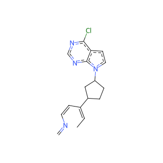 C=N/C=C\C(=C/C)C1CCC(n2ccc3c(Cl)ncnc32)C1